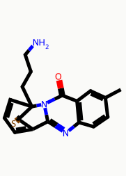 Cc1ccc2nc3n(c(=O)c2c1)C1(CCCN)C=CC=C3C1=S